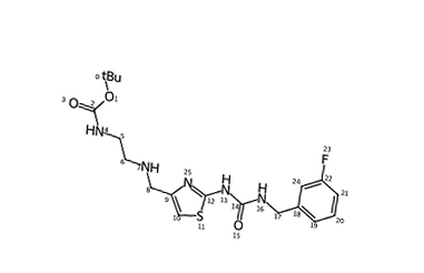 CC(C)(C)OC(=O)NCCNCc1csc(NC(=O)NCc2cccc(F)c2)n1